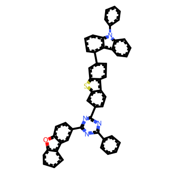 c1ccc(-c2nc(-c3ccc4c(c3)sc3cc(-c5cccc6c5c5ccccc5n6-c5ccccc5)ccc34)nc(-c3ccc4oc5ccccc5c4c3)n2)cc1